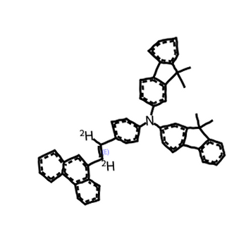 [2H]/C(=C(/[2H])c1cc2ccccc2c2ccccc12)c1ccc(N(c2ccc3c(c2)C(C)(C)c2ccccc2-3)c2ccc3c(c2)C(C)(C)c2ccccc2-3)cc1